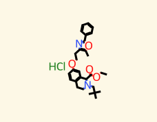 CCOC(=O)C1c2cc(OCCc3nc(-c4ccccc4)oc3C)ccc2CCN1CC(C)(C)C.Cl